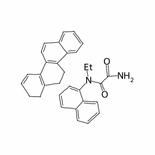 C1=CC2=C(CC1)CCc1c2ccc2ccccc12.CCN(C(=O)C(N)=O)c1cccc2ccccc12